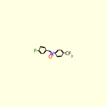 [O-][N+](=Cc1ccc(F)cc1)c1ccc(C(F)(F)F)cc1